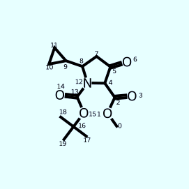 COC(=O)C1C(=O)CC(C2CC2)N1C(=O)OC(C)(C)C